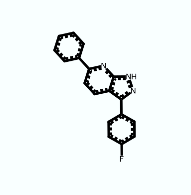 Fc1ccc(-c2n[nH]c3nc(-c4ccccc4)ccc23)cc1